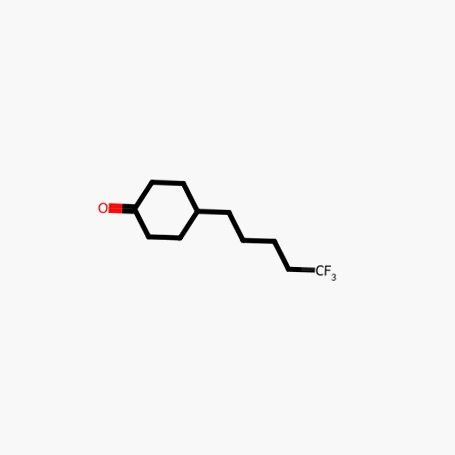 O=C1CCC(CCCCC(F)(F)F)CC1